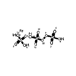 O=S(=O)(O)O.O=S(=O)(O)OOS(=O)(=O)O.[Fe]